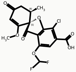 COC1=CC(=O)C[C@@H](C)[C@]12Oc1c(Cl)c(C(=O)O)cc(OC(F)F)c1C2=O